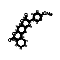 COc1ccc(-c2nc3cc4c5c(c(=O)oc4cc3oc2=O)CCCC5)cc1